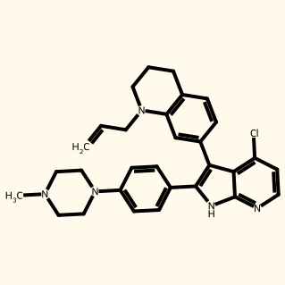 C=CCN1CCCc2ccc(-c3c(-c4ccc(N5CCN(C)CC5)cc4)[nH]c4nccc(Cl)c34)cc21